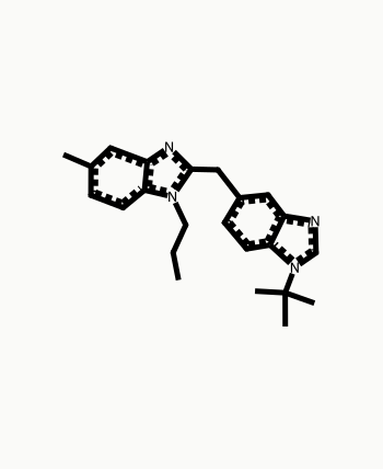 CCCn1c(Cc2ccc3c(c2)ncn3C(C)(C)C)nc2cc(C)ccc21